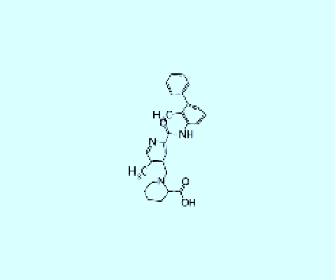 Cc1cnc(C(=O)Nc2cccc(-c3ccccc3)c2C)cc1CN1CCCCC1C(=O)O